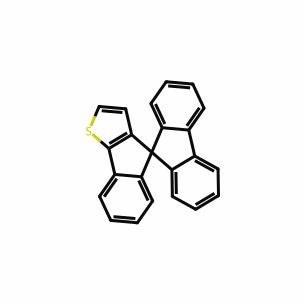 c1ccc2c(c1)-c1ccccc1C21c2ccccc2-c2sccc21